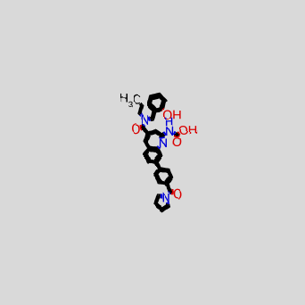 CCCN(Cc1ccccc1O)C(=O)C1=Cc2ccc(-c3ccc(C(=O)N4CCCC4)cc3)cc2N=C(NC(=O)O)C1